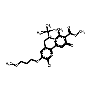 COCCCOc1cc2c(nc1Cl)-c1cc(=O)c(C(=O)OC)c(C)n1[C@H](C(C)(C)C)C2